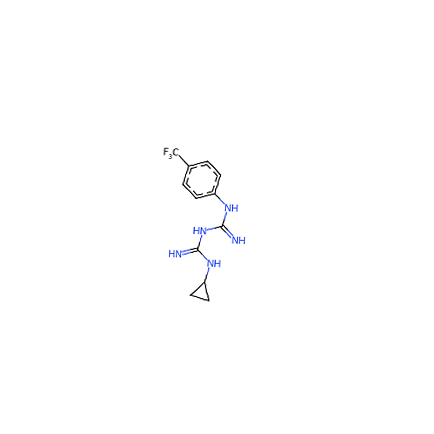 N=C(NC(=N)NC1CC1)Nc1ccc(C(F)(F)F)cc1